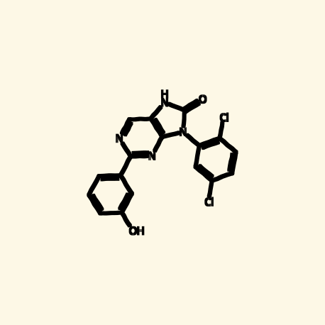 O=c1[nH]c2cnc(-c3cccc(O)c3)nc2n1-c1cc(Cl)ccc1Cl